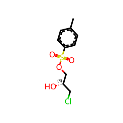 Cc1ccc(S(=O)(=O)OC[C@@H](O)CCl)cc1